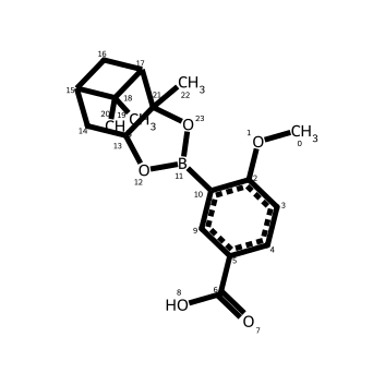 COc1ccc(C(=O)O)cc1B1OC2CC3CC(C3(C)C)C2(C)O1